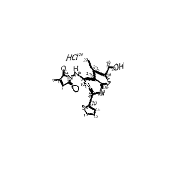 CC1=CC(=O)N(Nc2nc(-c3cccs3)nc3sc(CO)c(C)c23)C1=O.Cl